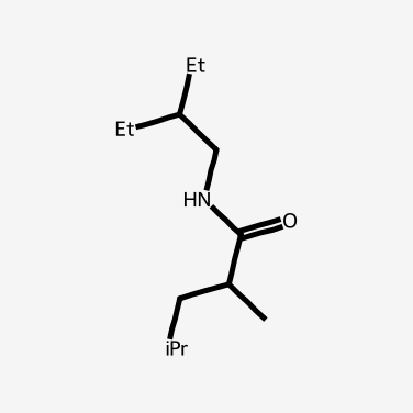 CCC(CC)CNC(=O)C(C)CC(C)C